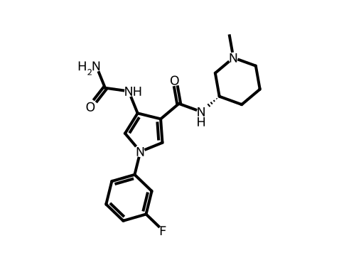 CN1CCC[C@H](NC(=O)c2cn(-c3cccc(F)c3)cc2NC(N)=O)C1